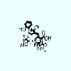 N[C@@H]1C(=O)N2C(C(=O)O)=C(C=C3CCN(c4ccccc4O)C3=O)CS[C@H]12.O=C(O)C(F)(F)F